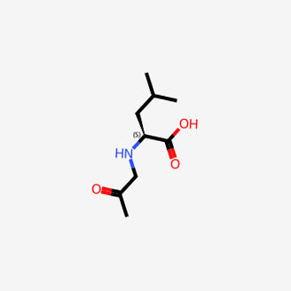 CC(=O)CN[C@@H](CC(C)C)C(=O)O